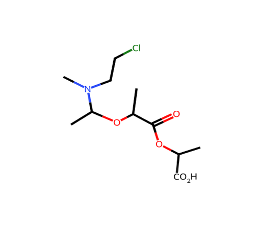 CC(OC(=O)C(C)OC(C)N(C)CCCl)C(=O)O